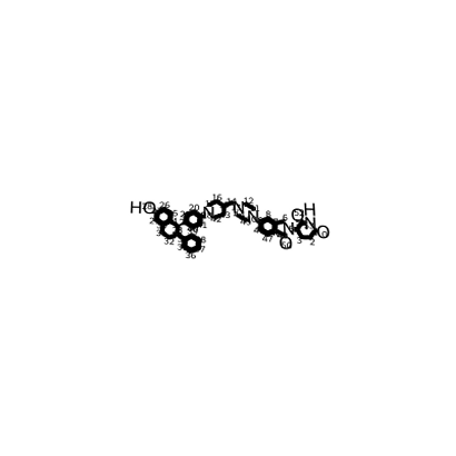 O=C1CCC(N2Cc3cc(N4CCN(CC5CCN(c6ccc([C@@H]7c8ccc(O)cc8CCC7c7ccccc7)cc6)CC5)CC4)ccc3C2=O)C(=O)N1